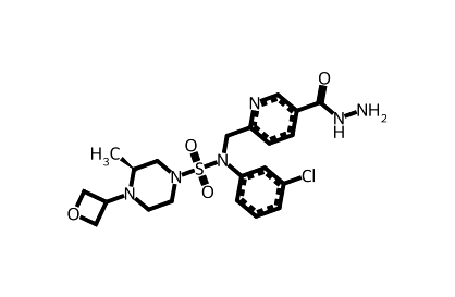 C[C@H]1CN(S(=O)(=O)N(Cc2ccc(C(=O)NN)cn2)c2cccc(Cl)c2)CCN1C1COC1